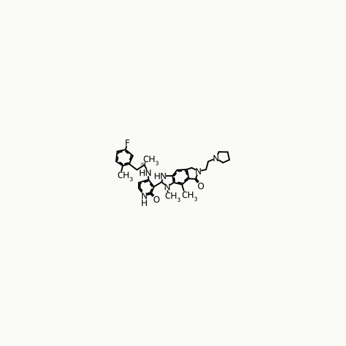 Cc1ccc(F)cc1C[C@H](C)Nc1cc[nH]c(=O)c1C1Nc2cc3c(c(C)c2N1C)C(=O)N(CCN1CCCC1)C3